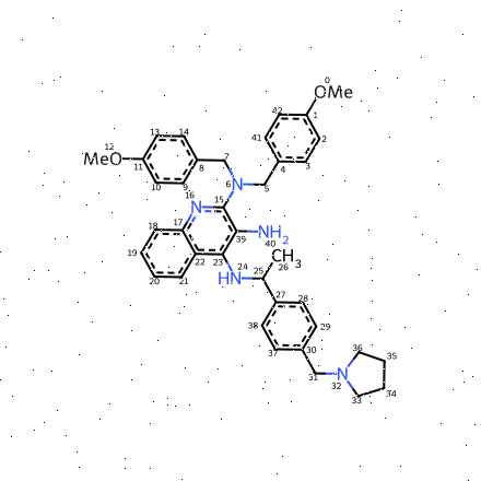 COc1ccc(CN(Cc2ccc(OC)cc2)c2nc3ccccc3c(NC(C)c3ccc(CN4CCCC4)cc3)c2N)cc1